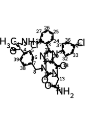 CS(=N)(=O)c1ccc(Cn2c(=O)n(CC(N)=O)c(=O)c3c2nc(-c2ccccc2Cl)n3-c2ccc(Cl)cc2)cc1